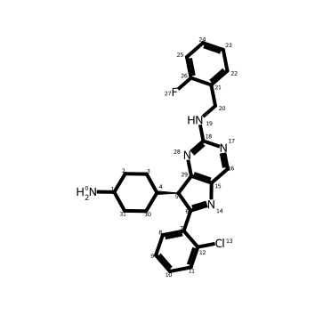 NC1CCC([C@@H]2C(c3ccccc3Cl)=Nc3cnc(NCc4ccccc4F)nc32)CC1